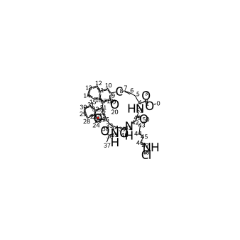 COC(=O)[C@@H]1CC=CCc2cc3ccccc3c(c2OC)-c2c(OC)c(cc3ccccc23)CC(NC(C)=O)C(=O)N[C@@H](CCCCNCl)C(=O)N1